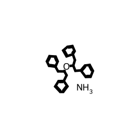 N.c1ccc(CC(Cc2ccccc2)OC(Cc2ccccc2)Cc2ccccc2)cc1